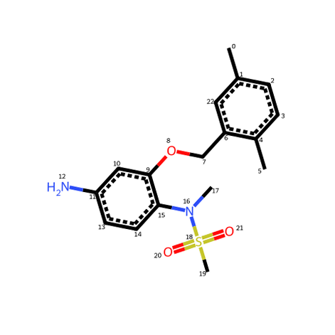 Cc1ccc(C)c(COc2cc(N)ccc2N(C)S(C)(=O)=O)c1